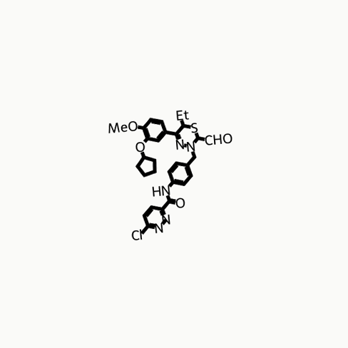 CCC1SC(C=O)N(Cc2ccc(NC(=O)c3ccc(Cl)nn3)cc2)N=C1c1ccc(OC)c(OC2CCCC2)c1